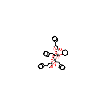 CO[Si](CCC1CC2C=CC1C2)(OC)O[Si](CCC1CC2C=CC1C2)(OC)O[Si]1(CCC2CC3C=CC2C3)OC2CCCCC2O[Si](CCC2CC3C=CC2C3)(OC)O1